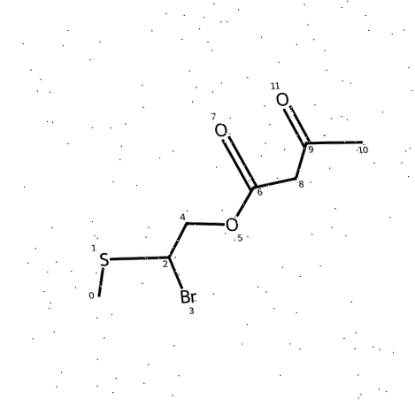 CSC(Br)COC(=O)CC(C)=O